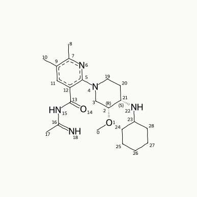 CO[C@@H]1CN(c2nc(C)c(C)cc2C(=O)NC(C)=N)CC[C@@H]1NC1CCCCC1